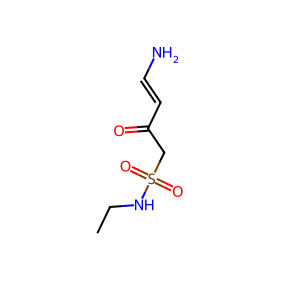 CCNS(=O)(=O)CC(=O)C=CN